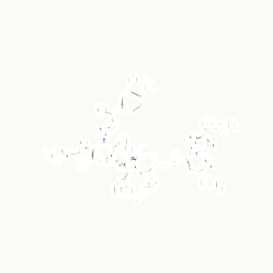 Cc1cc(SCC2=C(OC(=O)O)N3C(=O)[C@@H](NC(=O)/C(=N\OC(=O)c4ccc5c(c4)OCO5)c4csc(N)n4)[C@H]3SC2)n2nc(C(=O)O)nc2n1